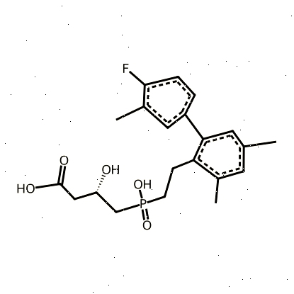 Cc1cc(C)c(CCP(=O)(O)C[C@@H](O)CC(=O)O)c(-c2ccc(F)c(C)c2)c1